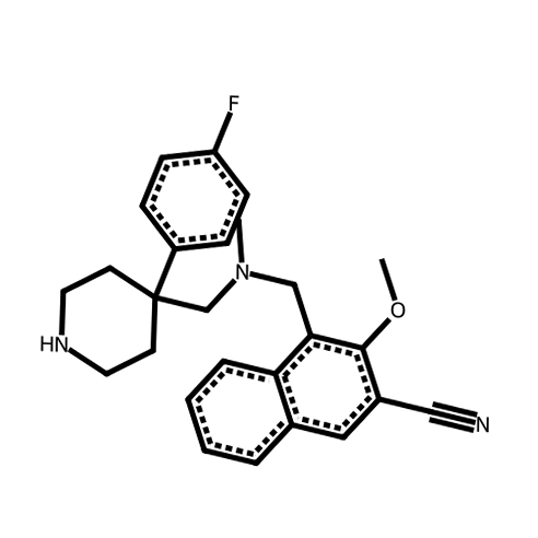 COc1c(C#N)cc2ccccc2c1CN(C)CC1(c2ccc(F)cc2)CCNCC1